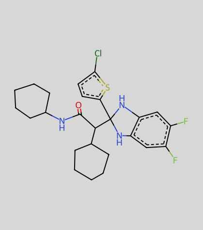 O=C(NC1CCCCC1)C(C1CCCCC1)C1(c2ccc(Cl)s2)Nc2cc(F)c(F)cc2N1